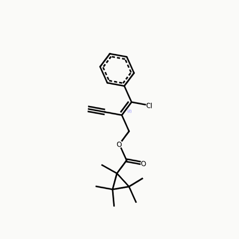 C#C/C(COC(=O)C1(C)C(C)(C)C1(C)C)=C(/Cl)c1ccccc1